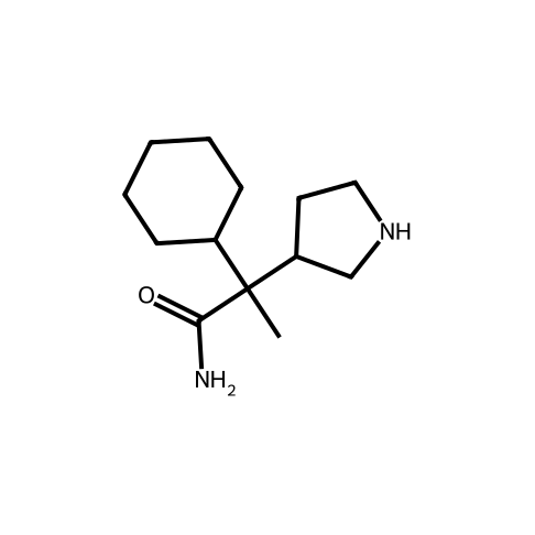 CC(C(N)=O)(C1CCCCC1)C1CCNC1